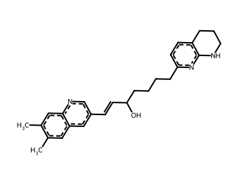 Cc1cc2cc(/C=C/C(O)CCCCc3ccc4c(n3)NCCC4)cnc2cc1C